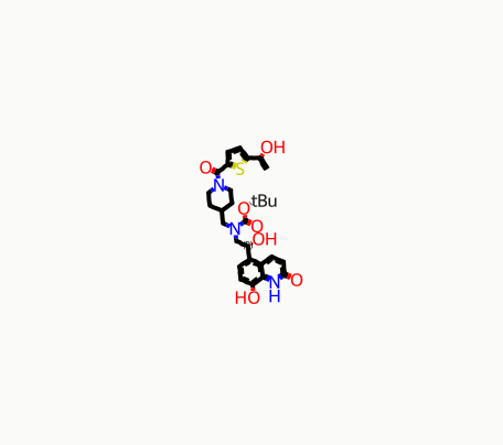 C=C(O)c1ccc(C(=O)N2CCC(CN(C[C@H](O)c3ccc(O)c4[nH]c(=O)ccc34)C(=O)OC(C)(C)C)CC2)s1